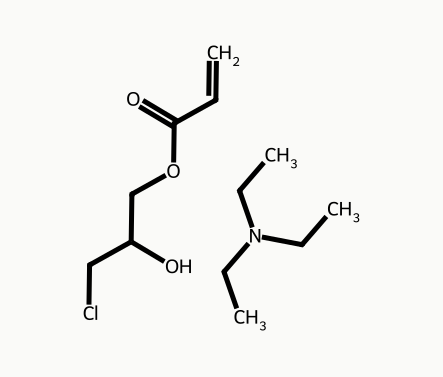 C=CC(=O)OCC(O)CCl.CCN(CC)CC